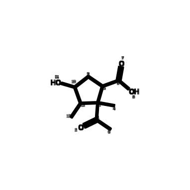 CC(=O)C1(C)C(C(=O)O)CC(O)C1C